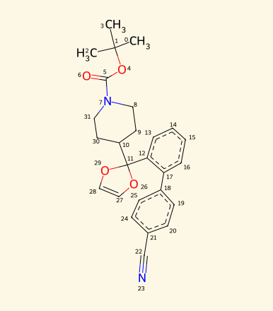 CC(C)(C)OC(=O)N1CCC(C2(c3ccccc3-c3ccc(C#N)cc3)OC=CO2)CC1